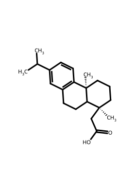 CC(C)c1ccc2c(c1)CCC1[C@](C)(CC(=O)O)CCC[C@]21C